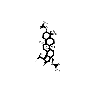 CC(=O)OC[C@@]12CC[C@]3(C)C(CCC4[C@@]5(C)CC[C@H](OC(C)=O)C(C)(C)C5CC[C@]43C)C1=C(C(C)C)C(=O)C2